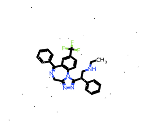 CCNCC(c1ccccc1)c1nnc2n1-c1ccc(C(F)(F)F)cc1C(c1ccccc1)=NC2